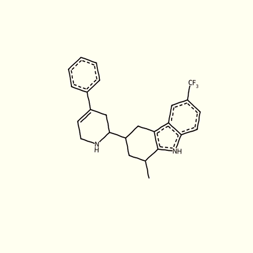 CC1CC(C2CC(c3ccccc3)=CCN2)Cc2c1[nH]c1ccc(C(F)(F)F)cc21